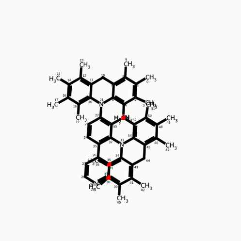 Cc1c(C)c(C)c2c(c1C)Cc1c(C)c(C)c(C)c(C)c1N2c1ccc(-c2ccncc2)c(N2c3c(C)c(C)c(C)c(C)c3Cc3c(C)c(C)c(C)c(C)c32)c1C#N